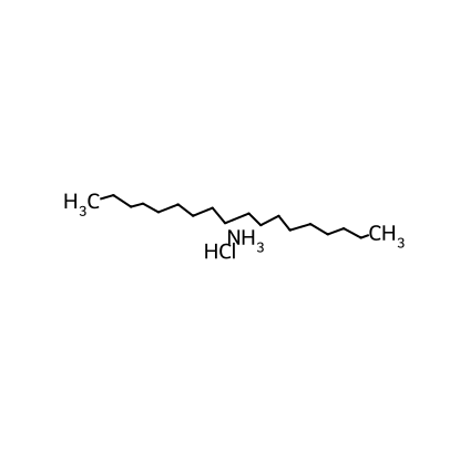 CCCCCCCCCCCCCCCCCC.Cl.N